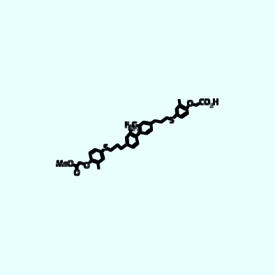 COC(=O)COc1ccc(SCCCc2ccc(-c3ccc(CCCSc4ccc(OCC(=O)O)c(C)c4)cc3C(F)(F)F)c(C(F)(F)F)c2)cc1C